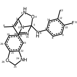 CC1=C2NOC(Nc3ccc(F)c(C)c3)(N=C1)N2c1ccc2c(c1)NCO2